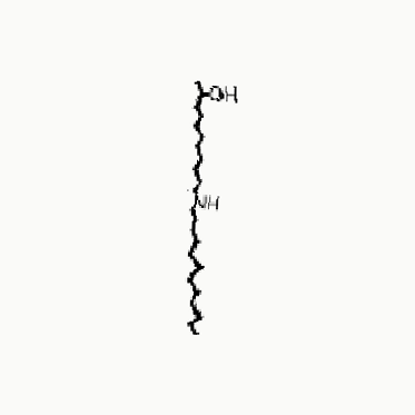 CCCCCCCCCCCCN[CH]CCCCCCCCC(C)O